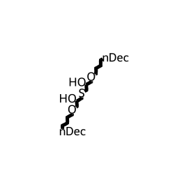 CCCCCCCCCCCCCCOCC(O)CSCC(O)COCCCCCCCCCCCCCC